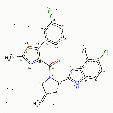 C=C1CC(c2nc3c(C)c(Cl)ccc3[nH]2)N(C(=O)c2nc(C)sc2-c2cccc(Cl)c2)C1